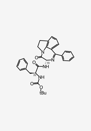 CC(C)(C)OC(=O)N[C@@H](Cc1ccccc1)C(=O)N[C@H]1N=C(c2ccccc2)c2cccc3c2N(CC3)C1=O